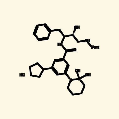 CCCC(C)NC[C@@H](O)[C@H](Cc1ccccc1)NC(=O)c1cc(C2CCCC2)cc(N2CCCCS2(O)O)c1.Cl